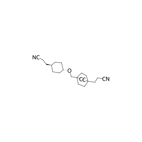 N#CCCC12CCC(CO[C@H]3CC[C@H](CCC#N)CC3)(CC1)CC2